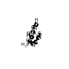 COc1ccc(-c2ccc3ncc4c(c3c2)n(-c2ccc(N3CCN(c5ncc6c(n5)CCNC6)CC3)c(C(F)(F)F)c2)c(=O)n4C)cn1